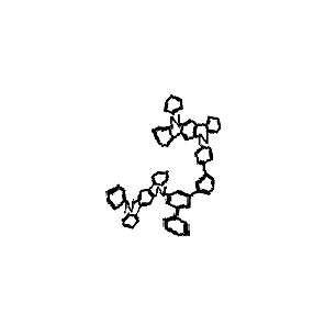 c1ccc(-c2cc(-c3cccc(-c4ccc(-n5c6ccccc6c6cc7c(cc65)c5ccccc5n7-c5ccccc5)cc4)c3)cc(-n3c4ccccc4c4cc5c(cc43)c3ccccc3n5-c3ccccc3)c2)cc1